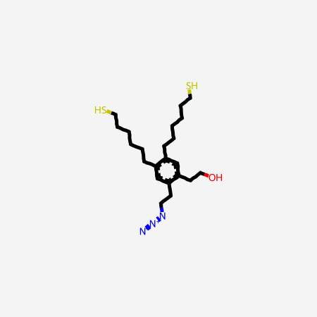 [N-]=[N+]=NCCc1cc(CCCCCCS)c(CCCCCCS)cc1CCO